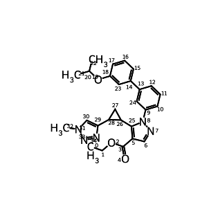 CCOC(=O)c1cnn(-c2cccc(-c3cccc(OC(C)C)c3)c2)c1C1CC1c1cn(C)nn1